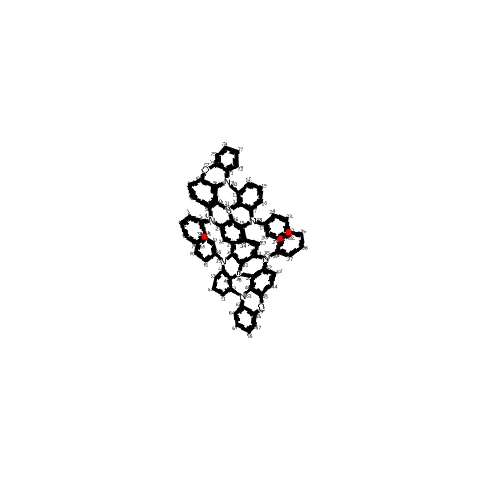 c1ccc(N2c3ccc4c5c3B3c6c(cccc6N(c6ccccc6)c6c3c2cc2c3c7c(cc62)N(c2ccccc2)c2ccc6c8c2B7c2c(cccc2N3c2ccccc2)N8c2ccccc2O6)N5c2ccccc2O4)cc1